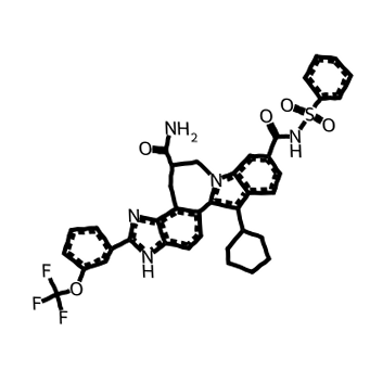 NC(=O)C1Cc2c(ccc3[nH]c(-c4cccc(OC(F)(F)F)c4)nc23)-c2c(C3CCCCC3)c3ccc(C(=O)NS(=O)(=O)c4ccccc4)cc3n2C1